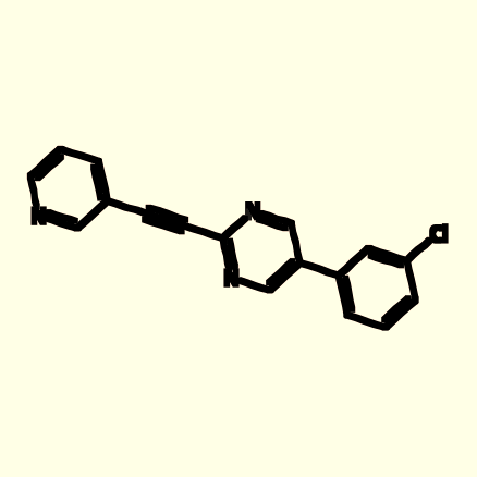 Clc1cccc(-c2cnc(C#Cc3cccnc3)nc2)c1